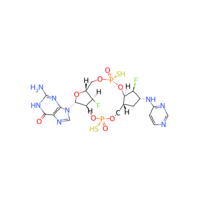 Nc1nc2c(ncn2[C@@H]2O[C@@H]3CO[P@@](=O)(S)O[C@@H]4[C@@H](CO[P@@](=O)(S)O[C@@H]2[C@@H]3F)C[C@@H](Nc2ccncn2)[C@@H]4F)c(=O)[nH]1